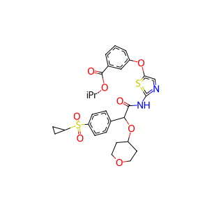 CC(C)OC(=O)c1cccc(Oc2cnc(NC(=O)C(OC3CCOCC3)c3ccc(S(=O)(=O)C4CC4)cc3)s2)c1